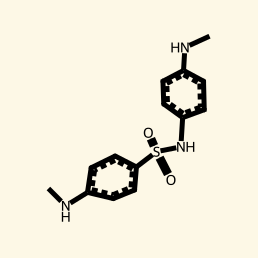 CNc1ccc(NS(=O)(=O)c2ccc(NC)cc2)cc1